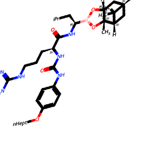 CCCCCCCOc1ccc(NC(=O)N[C@@H](CCCNC(=N)N)C(=O)N[C@@H](CC(C)C)B2O[C@@H]3C[C@@H]4C[C@@H](C4(C)C)[C@]3(C)O2)cc1